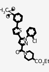 CCOC(=O)C1CCN(C(=O)c2cc(-c3ccc(-c4cccc(S(C)(=O)=O)c4)s3)n(-c3ccccc3Cl)n2)CC1